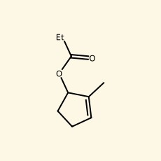 CCC(=O)OC1CCC=C1C